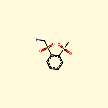 CS(=O)(=O)c1ccccc1S(=O)(=O)CI